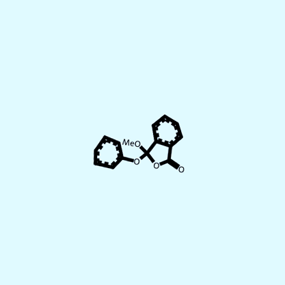 COC1(Oc2ccccc2)OC(=O)c2ccccc21